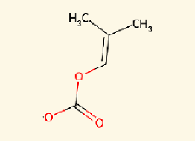 CC(C)=COC([O])=O